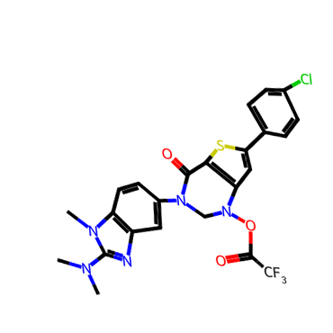 CN(C)c1nc2cc(N3CN(OC(=O)C(F)(F)F)c4cc(-c5ccc(Cl)cc5)sc4C3=O)ccc2n1C